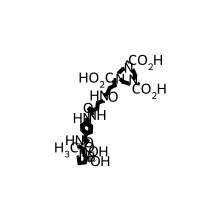 C[C@@H](NC(=O)c1ccc(NNC(=O)CCCNC(=O)CCC(C(=O)O)N2CCN(CC(=O)O)CCN(CC(=O)O)CC2)cc1)C(=O)N1CCC[C@H]1B(O)O